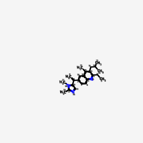 C=C(c1ccc2nc(CC)c(CC(C)C)c(C)c2c1)c1cnc(C)n1C